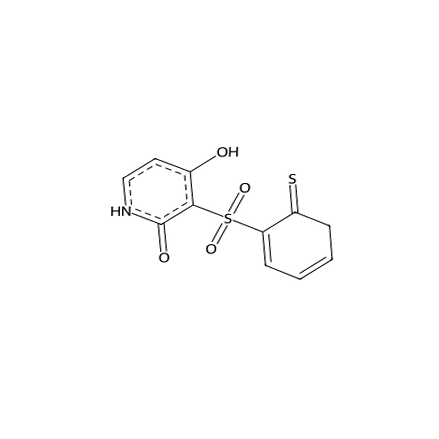 O=c1[nH]ccc(O)c1S(=O)(=O)C1=CC=CCC1=S